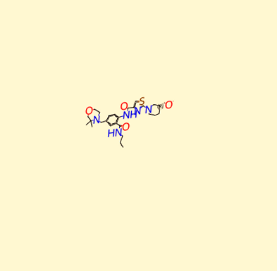 CCCNC(=O)c1cc(CN2CCOCC2(C)C)ccc1NC(=O)c1csc(N2CCC[C@@H](COC)C2)n1